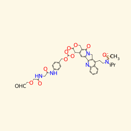 CC(C)N(CCc1c2c(nc3ccccc13)-c1cc3c(c(=O)n1C2)COC(=O)[C@H]3OC(=O)OCc1ccc(NC(=O)CNC(=O)COCC=O)cc1)[S+](C)[O-]